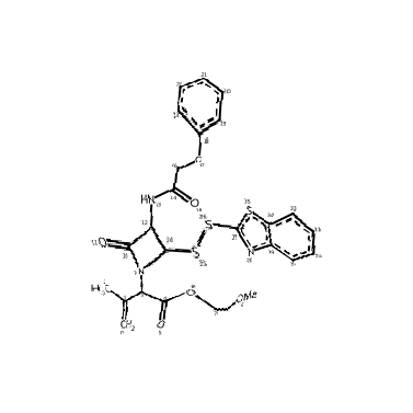 C=C(C)C(C(=O)OCOC)N1C(=O)C(NC(=O)COc2ccccc2)C1SSc1nc2ccccc2s1